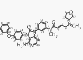 CN(C(=O)C=CCN(C)[C@@H]1CCOC1)c1cccc(-n2c(=O)n(-c3ccc(Oc4ccccc4)cc3)c3c(N)ncnc32)c1